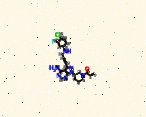 C=CC(=O)N1CCCC(n2nc(C#CCNc3ccc(Cl)c(F)c3)c3c(N)ncnc32)C1